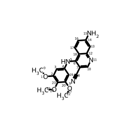 COc1cc(Nc2c(C#N)cnc3cc(N)ccc23)cc(OC)c1OC